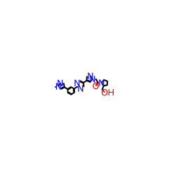 Cn1cc(-c2cccc(-c3ncc(-c4cnn(CC(=O)N5CCCC5CO)c4)cn3)c2)cn1